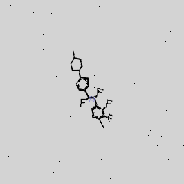 Cc1ccc(/C(F)=C(\F)c2ccc(C3CCC(C)CC3)cc2)c(F)c1F